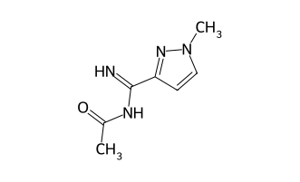 CC(=O)NC(=N)c1ccn(C)n1